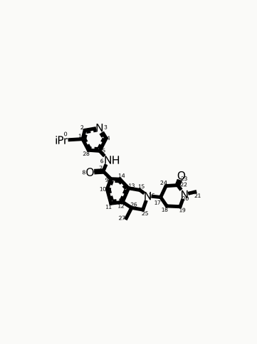 CC(C)c1cncc(NC(=O)c2ccc3c(c2)CN(C2CCN(C)C(=O)C2)CC3C)c1